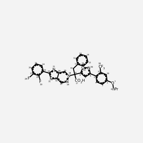 CCCOc1ccc(-c2cc(C(Cc3ccccc3)(C(=O)O)n3cc4nc(-c5cccc(F)c5F)nc-4cn3)on2)c(C(F)(F)F)c1